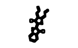 C=C/C=C1/C(=O)/C(=C2\Sc3ccccc3C2=O)S/C1=C/C=C